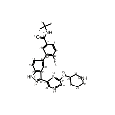 CC(C)(C)NC(=O)c1ccc(F)c(-c2ccc3[nH]nc(-c4cncc(OC5CCCNC5)n4)c3c2)c1